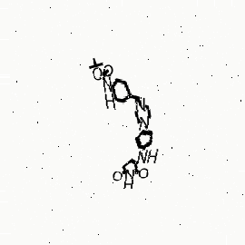 CC(C)(C)OC(=O)NC1CCC(CN2CCN(c3ccc(NC4CCC(=O)NC4=O)cc3)CC2)CC1